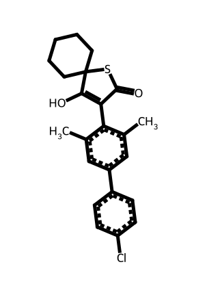 Cc1cc(-c2ccc(Cl)cc2)cc(C)c1C1=C(O)C2(CCCCC2)SC1=O